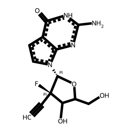 C#C[C@@]1(F)C(O)C(CO)O[C@H]1n1ccc2c(=O)[nH]c(N)nc21